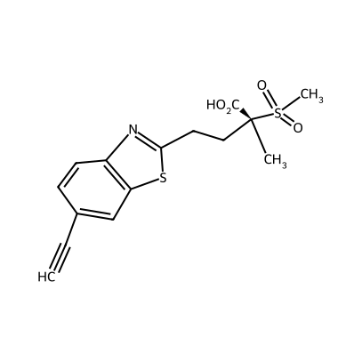 C#Cc1ccc2nc(CC[C@](C)(C(=O)O)S(C)(=O)=O)sc2c1